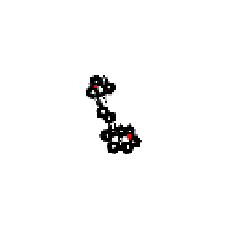 c1ccc2c(-n3c4ccccc4c4ccc5ccccc5c43)c3c4ccccc4n(-c4ccc5cc(-c6nc(-c7cccc8sc9ccccc9c78)c7ccccc7n6)ccc5c4)c3cc2c1